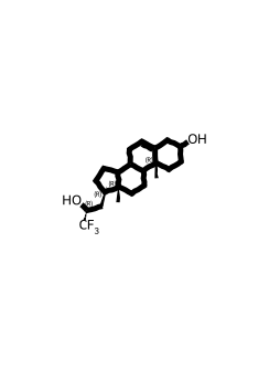 C[C@]12CCC(O)CC1=CCC1C2CC[C@@]2(C)C1CC[C@@H]2C[C@@H](O)C(F)(F)F